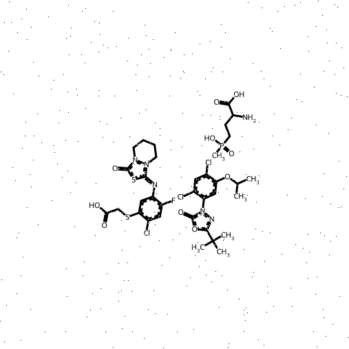 CC(C)Oc1cc(-n2nc(C(C)(C)C)oc2=O)c(Cl)cc1Cl.CP(=O)(O)CCC(N)C(=O)O.O=C(O)CSc1cc(N=c2sc(=O)n3n2CCCC3)c(F)cc1Cl